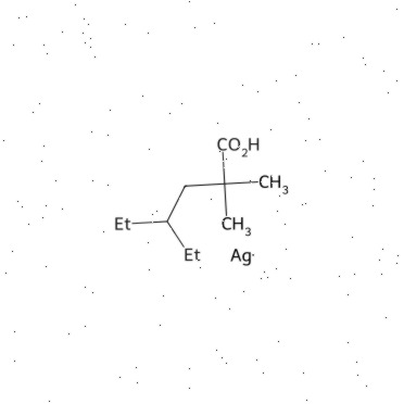 CCC(CC)CC(C)(C)C(=O)O.[Ag]